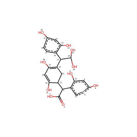 O=C(O)C(c1ccc(O)cc1O)C1CC(C(c2ccc(O)cc2O)C(O)O)=C(O)C=C1O